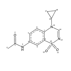 CC(=O)Nc1ccc2c(c1)S(=O)(=O)N=CN2C1CC1